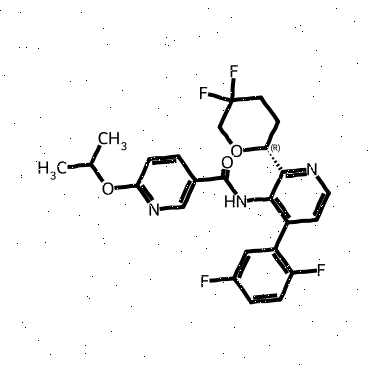 CC(C)Oc1ccc(C(=O)Nc2c(-c3cc(F)ccc3F)ccnc2[C@H]2CCC(F)(F)CO2)cn1